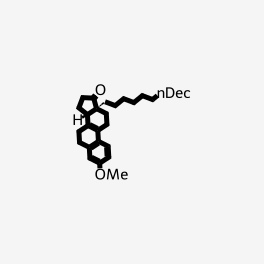 CCCCCCCCCCCCCCCC[C@]12CCC3=C(CCc4cc(OC)ccc43)[C@@H]1CCC2=O